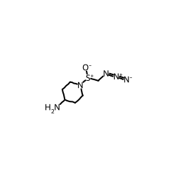 [N-]=[N+]=NC[S+]([O-])N1CCC(N)CC1